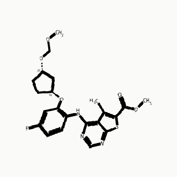 COCO[C@H]1CC[C@H](Oc2cc(F)ccc2Nc2ncnc3sc(C(=O)OC)c(C)c23)C1